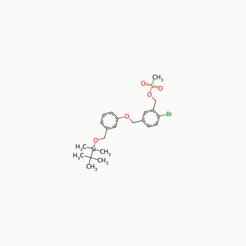 CC(C)(C)[Si](C)(C)OCc1cccc(OCc2ccc(Br)c(COS(C)(=O)=O)c2)c1